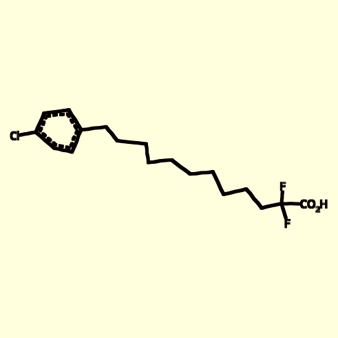 O=C(O)C(F)(F)CCCCCCCCCCc1ccc(Cl)cc1